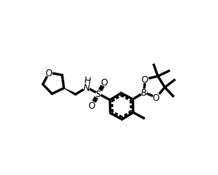 Cc1ccc(S(=O)(=O)NC[C@H]2CCOC2)cc1B1OC(C)(C)C(C)(C)O1